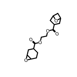 O=C(OCCOC(=O)C1CCC2OC2C1)C1CC2CC(C1)O2